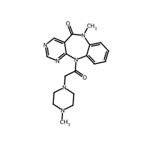 CN1CCN(CC(=O)N2c3ccccc3N(C)C(=O)c3cncnc32)CC1